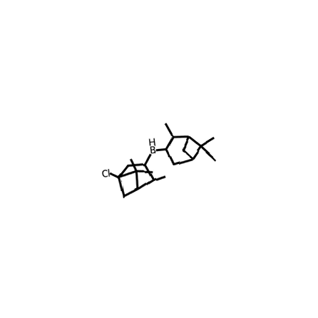 CC1C(BC2CC3(Cl)CC(C2C)C3(C)C)CC2CC1C2(C)C